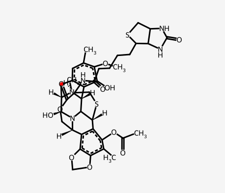 COc1c(C)cc2c(c1O)[C@@H]1C3[C@@H]4SC[C@H](NC(=O)CCCCC5SCC6NC(=O)NC65)C(=O)OC[C@@H](c5c6c(c(C)c(OC(C)=O)c54)OCO6)N3[C@@H](O)[C@H](C2)N1C